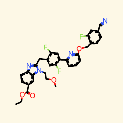 CCOC(=O)c1ccc2nc(Cc3cc(F)c(-c4cccc(OCc5ccc(C#N)cc5F)n4)cc3F)n(CCOC)c2c1